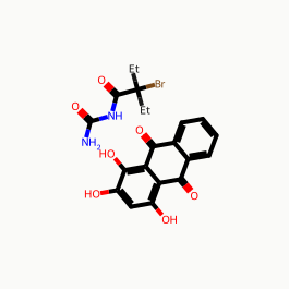 CCC(Br)(CC)C(=O)NC(N)=O.O=C1c2ccccc2C(=O)c2c(O)c(O)cc(O)c21